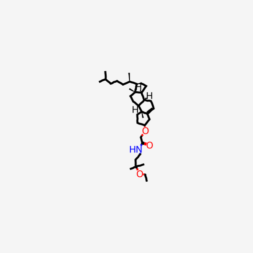 CCOC(C)(C)CCNC(=O)CO[C@H]1CC[C@@]2(C)C(=CC[C@H]3[C@@H]4CC[C@H]([C@H](C)CCCC(C)C)[C@@]4(C)CC[C@@H]32)C1